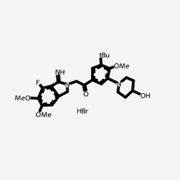 Br.COc1cc2c(c(F)c1OC)C(=N)N(CC(=O)c1cc(N3CCC(O)CC3)c(OC)c(C(C)(C)C)c1)C2